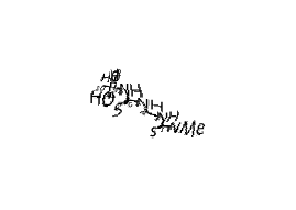 CNC(=S)NCNC(=S)N[PH](C)(O)O